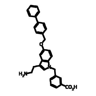 NCCc1cn(Cc2cccc(C(=O)O)c2)c2ccc(OCc3ccc(-c4ccccc4)cc3)cc12